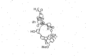 C=CC(=O)N1CCC(F)(C(=O)N(C)[C@H](C(=O)N[C@H]2Cc3cc(O)cc(c3)-c3ccc4c(c3)c(c(-c3ccccc3CCOC)n4CC)CC(C)(C)COC(=O)[C@@H]3CCCN(N3)C2=O)C(C)C)CC1